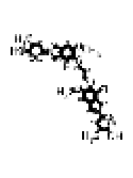 COc1cc2c(c(F)c1OCCCOc1c(OC)cc3c(c1Cl)CN(C(=O)CC(C)C(=O)O)C3)CN(C(=O)CC(C)C(=O)O)C2